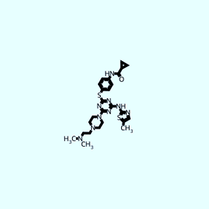 Cc1cnc(Nc2nc(Sc3ccc(NC(=O)C4CC4)cc3)nc(N3CCN(CCN(C)C)CC3)n2)s1